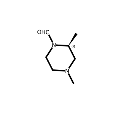 C[C@H]1CN(C)CCN1C=O